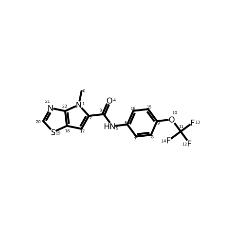 Cn1c(C(=O)Nc2ccc(OC(F)(F)F)cc2)cc2scnc21